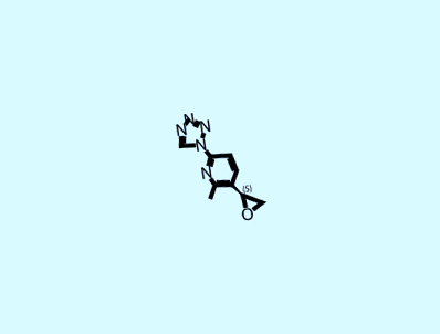 Cc1nc(-n2cnnn2)ccc1[C@H]1CO1